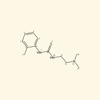 Cc1ccccc1NC(=S)NCCN(C)C